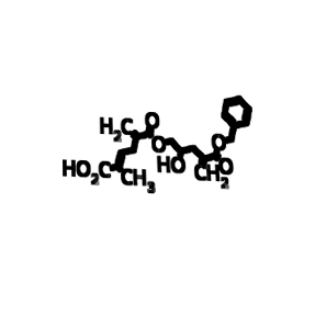 C=C(CC=C(C)C(=O)O)C(=O)OCC(O)CC(=C)C(=O)OCc1ccccc1